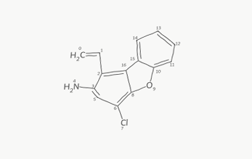 C=Cc1c(N)cc(Cl)c2oc3ccccc3c12